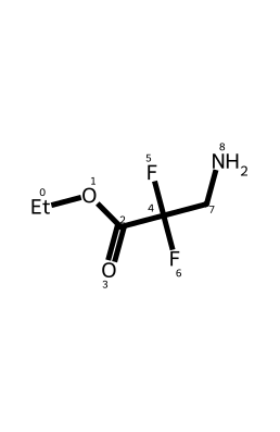 CCOC(=O)C(F)(F)CN